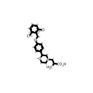 CC(CN1CCOC(c2ccc(OCc3c(Cl)cccc3Cl)cc2)C1)C(=O)O